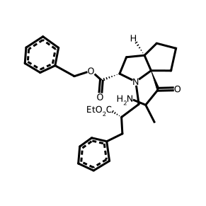 CCOC(=O)[C@@H](Cc1ccccc1)CN1[C@H](C(=O)OCc2ccccc2)C[C@H]2CCC[C@@]21C(=O)C(C)N